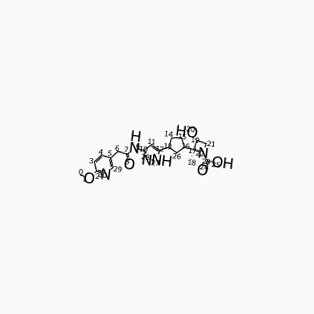 COc1ccc(CC(=O)Nc2cc(C3CCC([C@@]4(C)[C@H](O)CN4C(=O)O)C3)[nH]n2)cn1